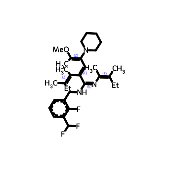 CC/C(C)=C(C)\N=C(NCc1cccc(C(F)F)c1F)/C(=C/C(=C(\C)OC)N1CCCCC1)C(/C)=C(/C)CC